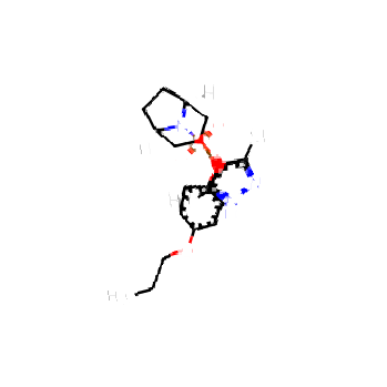 CCCOc1ccc(OC2C[C@H]3CC[C@@H](C2)N3S(=O)(=O)c2c(C)n[nH]c2C)cc1